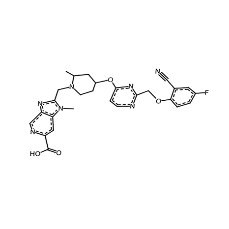 CC1CC(Oc2ccnc(COc3ccc(F)cc3C#N)n2)CCN1Cc1nc2cnc(C(=O)O)cc2n1C